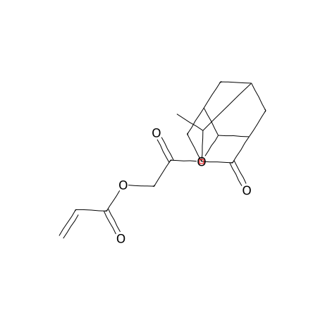 C=CC(=O)OCC(=O)OC1C2CC3CC1C(=O)C(C2)C3C